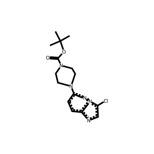 CC(C)(C)OC(=O)N1CCN(c2ccc3ncc(Cl)n3n2)CC1